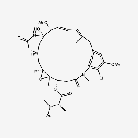 COc1cc2cc(c1Cl)N(C)C(=O)C[C@H](OC(=O)[C@@H](C)N(C)C(C)=O)[C@]1(C)O[C@H]1C[C@@H]1C[C@@](O)(NC(=O)O1)[C@H](OC)/C=C/C=C(\C)C2